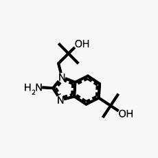 CC(C)(O)Cn1c(N)nc2cc(C(C)(C)O)ccc21